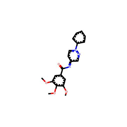 COc1cc(C(=O)/N=c2\ccn(-c3ccccc3)nc2)cc(OC)c1OC